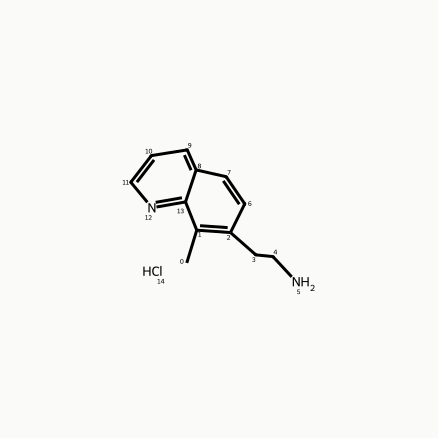 Cc1c(CCN)ccc2cccnc12.Cl